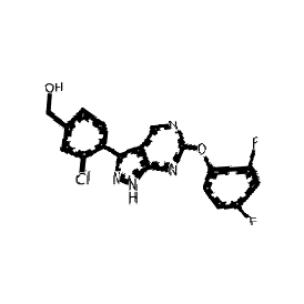 OCc1ccc(-c2n[nH]c3nc(Oc4ccc(F)cc4F)ncc23)c(Cl)c1